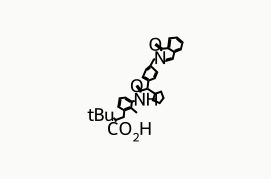 Cc1c(CC(C(=O)O)C(C)(C)C)cccc1NC(=O)C(c1ccc(Cn2ccc3ccccc3c2=O)cc1)C1CCCC1